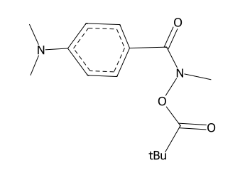 CN(OC(=O)C(C)(C)C)C(=O)c1ccc(N(C)C)cc1